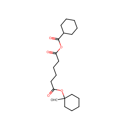 O=CC1(OC(=O)CCCCC(=O)OC(=O)C2CCCCC2)CCCCC1